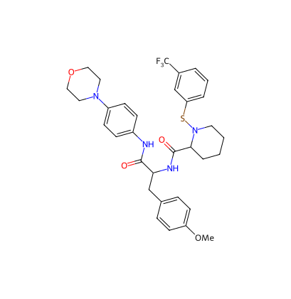 COc1ccc(CC(NC(=O)C2CCCCN2Sc2cccc(C(F)(F)F)c2)C(=O)Nc2ccc(N3CCOCC3)cc2)cc1